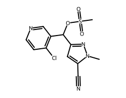 Cn1nc(C(OS(C)(=O)=O)c2cnccc2Cl)cc1C#N